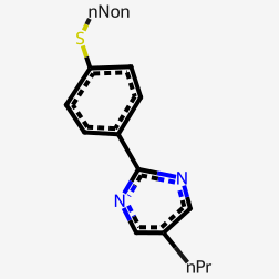 CCCCCCCCCSc1ccc(-c2ncc(CCC)cn2)cc1